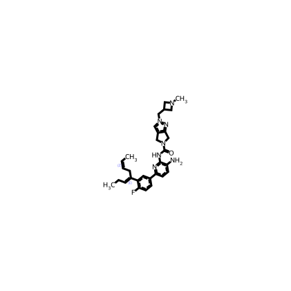 C/C=C\C/C(=C\CC)c1cc(-c2ccc(N)c(NC(=O)N3Cc4cn(CC5CN(C)C5)nc4C3)n2)ccc1F